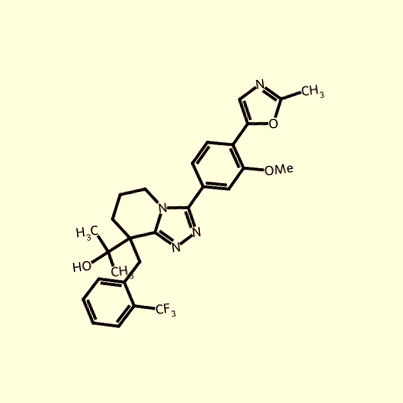 COc1cc(-c2nnc3n2CCCC3(Cc2ccccc2C(F)(F)F)C(C)(C)O)ccc1-c1cnc(C)o1